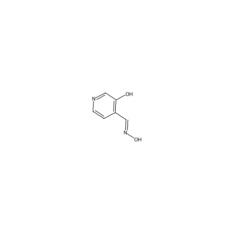 ON=Cc1ccncc1O